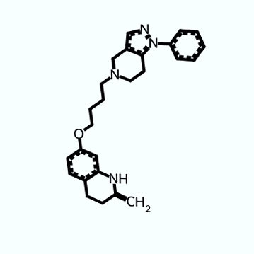 C=C1CCc2ccc(OCCCCN3CCc4c(cnn4-c4ccccc4)C3)cc2N1